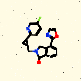 O=C1c2cccc(-c3ncco3)c2CN1CC1CC1c1ccc(F)cn1